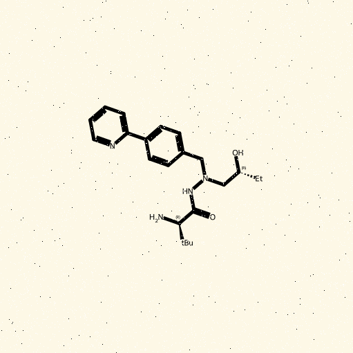 CC[C@@H](O)CN(Cc1ccc(-c2ccccn2)cc1)NC(=O)[C@H](N)C(C)(C)C